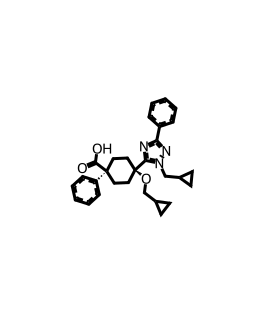 O=C(O)[C@]1(c2ccccc2)CC[C@@](OCC2CC2)(c2nc(-c3ccccc3)nn2CC2CC2)CC1